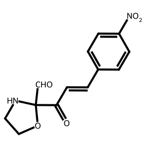 O=CC1(C(=O)C=Cc2ccc([N+](=O)[O-])cc2)NCCO1